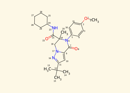 COc1ccc(N2C(=O)c3cc(C(C)(C)C)nn3CC2(C)C(=O)NC2CCCCC2)cc1